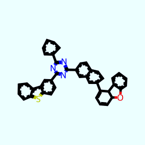 C1=CC2Oc3ccccc3C2C(c2ccc3ccc(-c4nc(-c5ccccc5)nc(-c5ccc6sc7ccccc7c6c5)n4)cc3c2)=C1